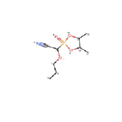 CCCOC(C#N)P1(=O)OC(C)C(C)O1